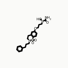 NC(=O)N(O)CCCOc1ccc2c(c1)CCN(CCCc1ccccc1)S2(=O)=O